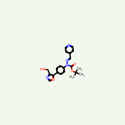 CC(C)(C)OC(=O)N(N=Cc1ccncc1)c1ccc(-c2ocnc2CO)cc1